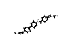 CCCCCCCc1ccc(-c2ccc(OC[C@H]3CC[C@H](CCCCCCC)CC3)cc2)nc1